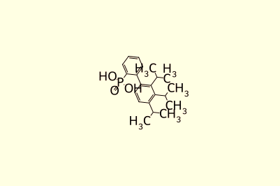 CC(C)c1ccc(-c2ccccc2P(=O)(O)O)c(C(C)C)c1C(C)C